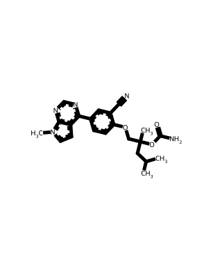 CC(C)CC(C)(COc1ccc(-c2ncnc3c2ccn3C)cc1C#N)OC(N)=O